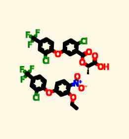 CCOc1cc(Oc2ccc(C(F)(F)F)cc2Cl)ccc1[N+](=O)[O-].C[C@H](OC(=O)c1cc(Oc2ccc(C(F)(F)F)cc2Cl)ccc1Cl)C(=O)O